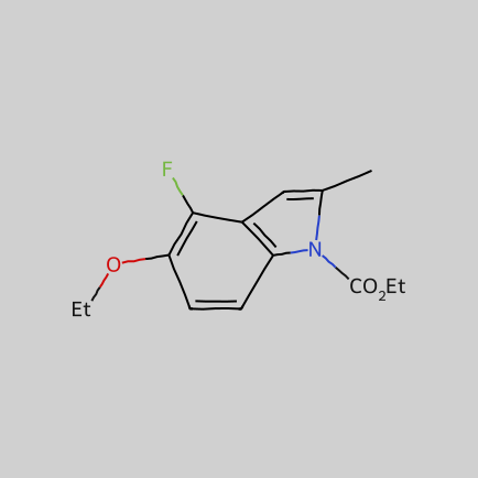 CCOC(=O)n1c(C)cc2c(F)c(OCC)ccc21